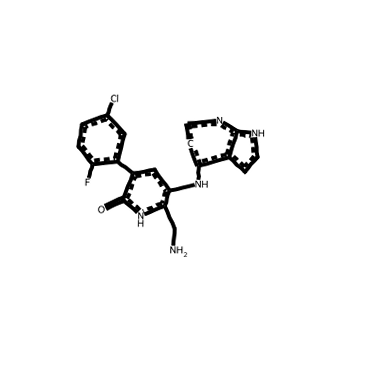 NCc1[nH]c(=O)c(-c2cc(Cl)ccc2F)cc1Nc1ccnc2[nH]ccc12